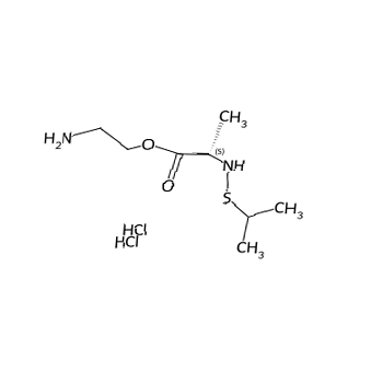 CC(C)SN[C@@H](C)C(=O)OCCN.Cl.Cl